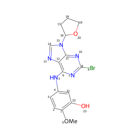 COc1ccc(Nc2nc(Br)nc3c2ncn3C2CCCO2)cc1O